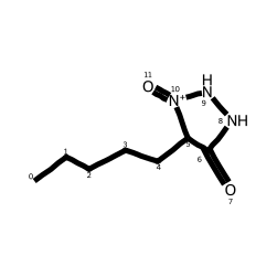 CCCCCC1C(=O)NN[N+]1=O